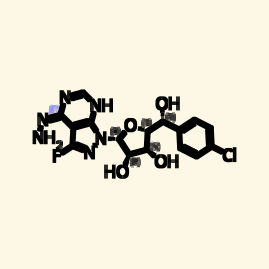 N/N=c1/nc[nH]c2c1c(F)nn2[C@@H]1O[C@H]([C@H](O)c2ccc(Cl)cc2)[C@@H](O)[C@H]1O